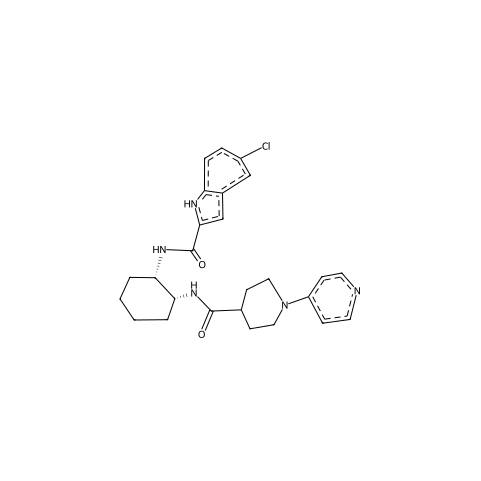 O=C(N[C@H]1CCCC[C@H]1NC(=O)C1CCN(c2ccncc2)CC1)c1cc2cc(Cl)ccc2[nH]1